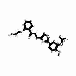 COc1ccc(-c2nc(CCC(=O)c3ccccc3OCCF)co2)cc1OC(C)C